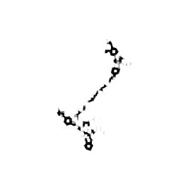 Cc1ncsc1-c1ccc(CNC(=O)[C@@H]2C[C@@H](O)CN2C(=O)[C@H](C(C)C)N2Cc3ccccc3C2=O)c(OCCOCCOCCOCCOCCOCCOc2ccc(N3C(=O)N(c4ccc(C#N)c(C(F)(F)F)c4)C(=O)C3(C)C)cc2)c1